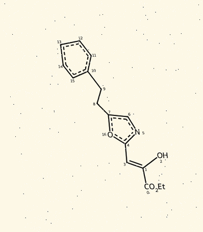 CCOC(=O)/C(O)=C/c1ncc(CCc2ccccc2)o1